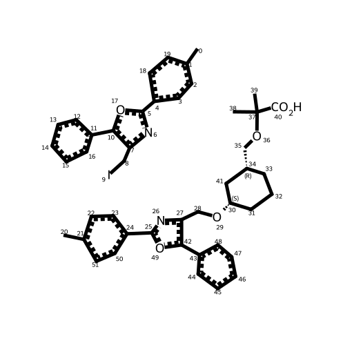 Cc1ccc(-c2nc(CI)c(-c3ccccc3)o2)cc1.Cc1ccc(-c2nc(CO[C@H]3CCC[C@@H](COC(C)(C)C(=O)O)C3)c(-c3ccccc3)o2)cc1